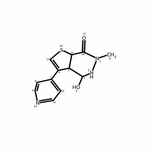 CN1NC(O)C2C(c3ccncc3)=CSC2C1=O